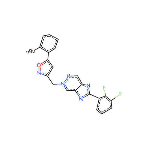 CCCCc1ccccc1-c1cc(Cn2cc3nc(-c4cccc(F)c4F)nc-3cn2)no1